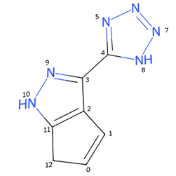 C1=Cc2c(-c3nnn[nH]3)n[nH]c2C1